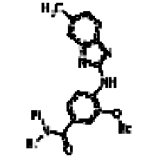 CCOc1cc(C(=O)N(CC)CC)ccc1Nc1nc2ccc(C)cn2n1